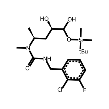 C[C@@H](C[C@@H](O)C(O)O[Si](C)(C)C(C)(C)C)N(C)C(=O)NCc1cccc(F)c1Cl